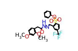 COc1ccc(CC(=O)NN=Cc2cc(C(F)(F)F)ccc2S(=O)(=O)Oc2ccccc2)c(OC)c1